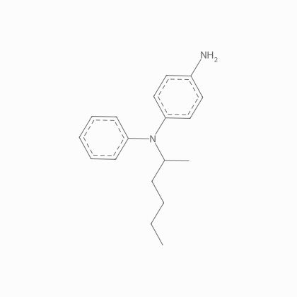 CCCCC(C)N(c1ccccc1)c1ccc(N)cc1